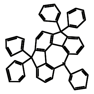 c1ccc(N2c3cccc4c3-c3c(ccc5c3-c3c2cccc3C5(c2ccccc2)c2ccccc2)C4(c2ccccc2)c2ccccc2)cc1